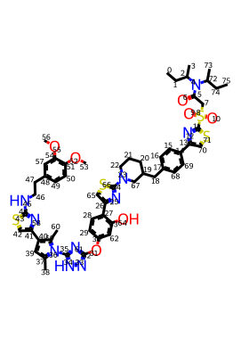 CCC(C)N(C(=O)CS(=O)(=O)c1nc(-c2ccc(CC3CCCN(c4nc(-c5ccc(Oc6n[nH]c(-n7c(C)cc(-c8csc(NCCc9ccc(OC)c(OC)c9)n8)c7C)n6)cc5O)cs4)C3)cc2)cs1)C(C)CC